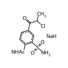 CC(=O)Nc1ccc(C(=O)C(C)Cl)cc1S(N)(=O)=O.[NaH]